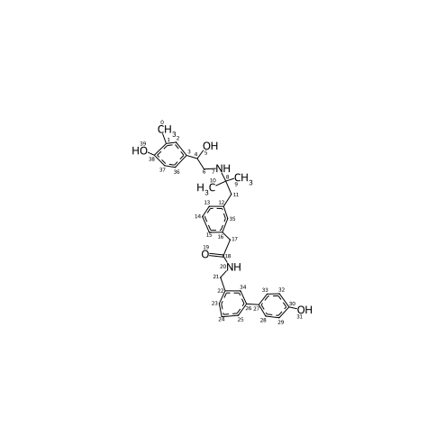 Cc1cc(C(O)CNC(C)(C)Cc2cccc(CC(=O)NCc3cccc(-c4ccc(O)cc4)c3)c2)ccc1O